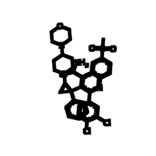 CS(=O)(=O)c1ccc2nc(-c3ccc(Cl)c(Cl)c3)c(C3(c4ccccc4)CC3N3CCC(N4CCOCC4)CC3)c(C(N)=O)c2c1